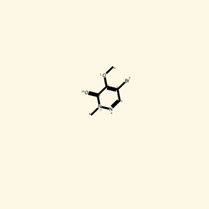 COc1c(Br)cnn(C)c1=O